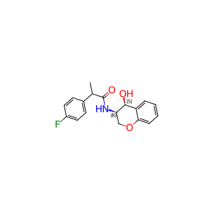 CC(C(=O)N[C@@H]1COc2ccccc2[C@@H]1O)c1ccc(F)cc1